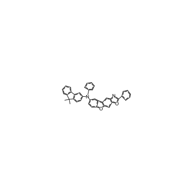 CC1(C)c2ccccc2-c2cc(N(c3ccccc3)c3ccc4oc5cc6oc(-c7ccccc7)nc6cc5c4c3)ccc21